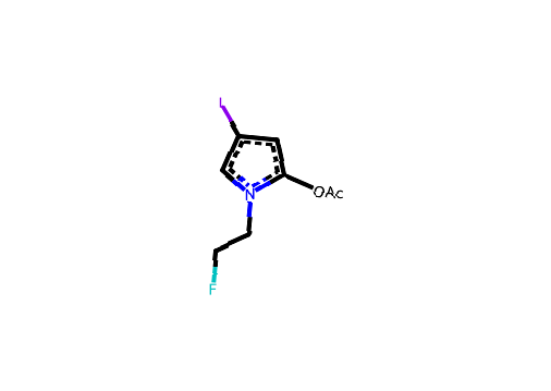 CC(=O)Oc1cc(I)cn1CCF